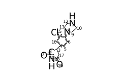 O=C1CC(c2ccc(N3CCNCC3)c(Cl)c2)CC(=O)N1